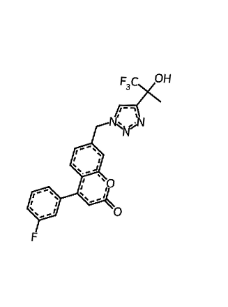 CC(O)(c1cn(Cc2ccc3c(-c4cccc(F)c4)cc(=O)oc3c2)nn1)C(F)(F)F